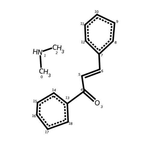 CNC.O=C(C=Cc1ccccc1)c1ccccc1